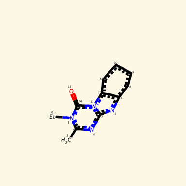 CCn1c(C)nc2nc3ccccc3n2c1=O